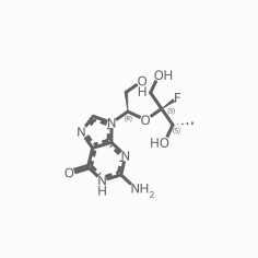 C[C@H](O)[C@@](F)(CO)O[C@H](CO)n1cnc2c(=O)[nH]c(N)nc21